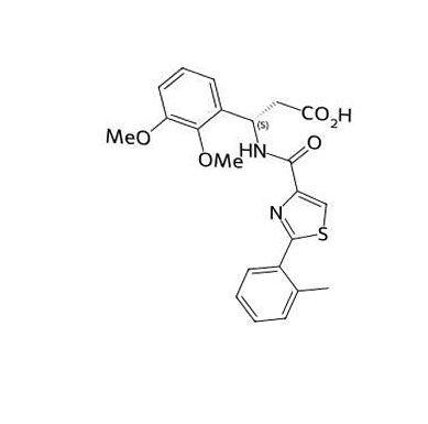 COc1cccc([C@H](CC(=O)O)NC(=O)c2csc(-c3ccccc3C)n2)c1OC